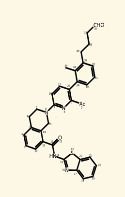 CC(=O)c1nc(N2CCc3cccc(C(=O)Nc4nc5ccccc5s4)c3C2)ccc1-c1cccc(CCCC=O)c1C